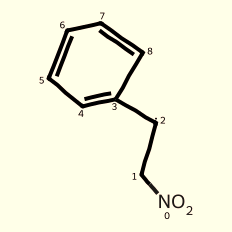 O=[N+]([O-])C[CH]c1ccccc1